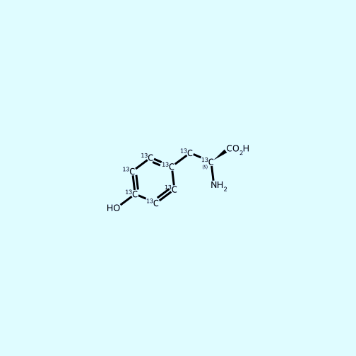 N[13C@@H]([13CH2][13c]1[13cH][13cH][13c](O)[13cH][13cH]1)[13C](=O)O